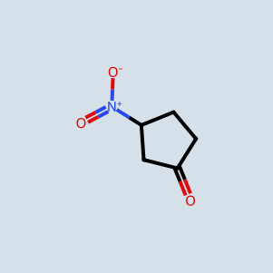 O=C1CCC([N+](=O)[O-])C1